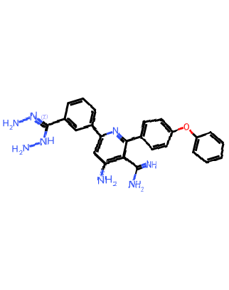 N=C(N)c1c(N)cc(-c2cccc(/C(=N/N)NN)c2)nc1-c1ccc(Oc2ccccc2)cc1